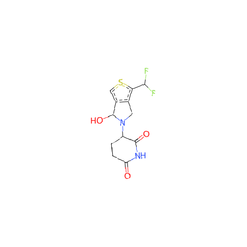 O=C1CCC(N2Cc3c(csc3C(F)F)C2O)C(=O)N1